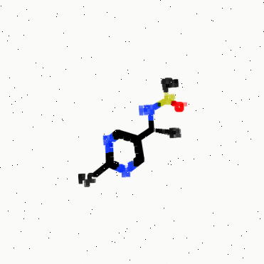 CC[C@@H](N[S@@+]([O-])C(C)(C)C)c1cnc(C(F)(F)F)nc1